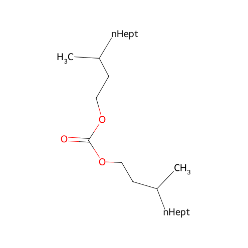 CCCCCCCC(C)CCOC(=O)OCCC(C)CCCCCCC